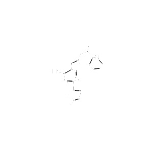 Cc1ccc(-c2nc(N)c3cc(CC(C)c4ccccn4)sc3n2)o1